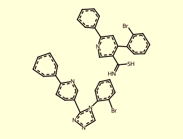 Brc1ccccc1-n1cnnc1-c1ccc(-c2ccccc2)nc1.N=C(S)c1cnc(-c2ccccc2)cc1-c1ccccc1Br